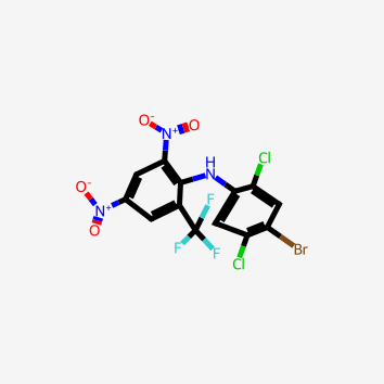 O=[N+]([O-])c1cc([N+](=O)[O-])c(Nc2cc(Cl)c(Br)cc2Cl)c(C(F)(F)F)c1